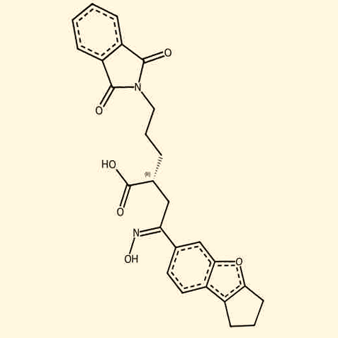 O=C(O)[C@H](CCCN1C(=O)c2ccccc2C1=O)CC(=NO)c1ccc2c3c(oc2c1)CCC3